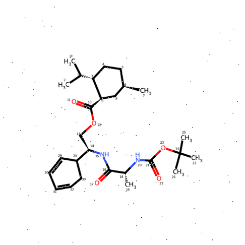 CC(C)[C@@H]1CC[C@@H](C)C[C@H]1C(=O)OC[C@@H](NC(=O)[C@@H](C)NC(=O)OC(C)(C)C)C1C=CC=CC1